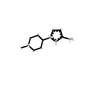 CN1CCC(n2ccc([N+](=O)[O-])n2)CC1